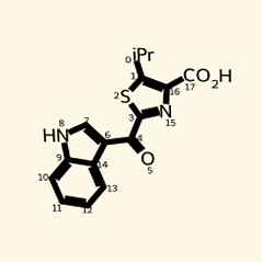 CC(C)c1sc(C(=O)c2c[nH]c3ccccc23)nc1C(=O)O